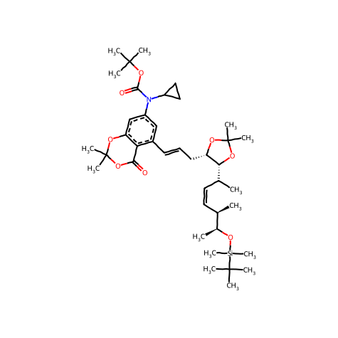 CC(/C=C\[C@@H](C)[C@H](C)O[Si](C)(C)C(C)(C)C)[C@H]1OC(C)(C)O[C@H]1C/C=C/c1cc(N(C(=O)OC(C)(C)C)C2CC2)cc2c1C(=O)OC(C)(C)O2